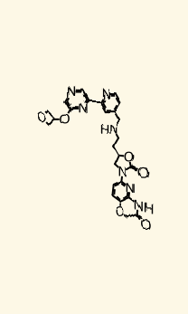 O=C1COc2ccc(N3CC(CCNCc4ccnc(-c5cncc(OC6COC6)n5)c4)OC3=O)nc2N1